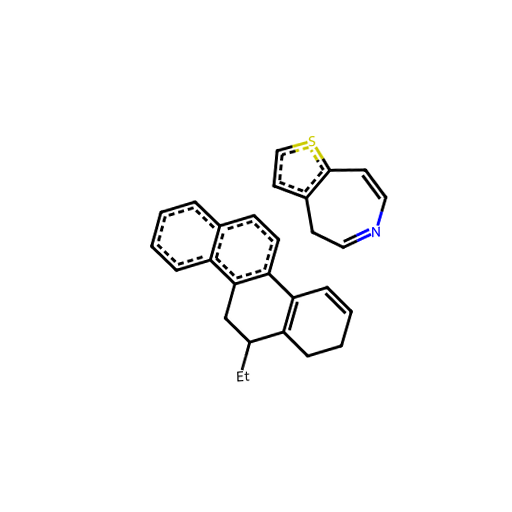 C1=Cc2sccc2CC=N1.CCC1Cc2c(ccc3ccccc23)C2=C1CCC=C2